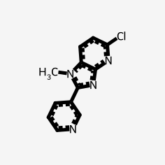 Cn1c(-c2cccnc2)nc2nc(Cl)ccc21